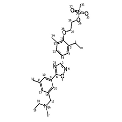 CCc1cc(-c2noc(-c3cc(C)cc(CN(C)CC)c3)n2)cc(C)c1OCCOS(C)(=O)=O